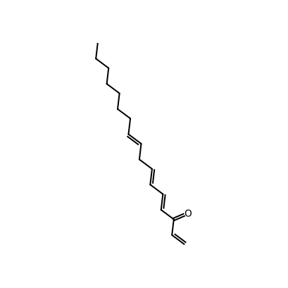 C=CC(=O)C=CC=CCC=CCCCCCCC